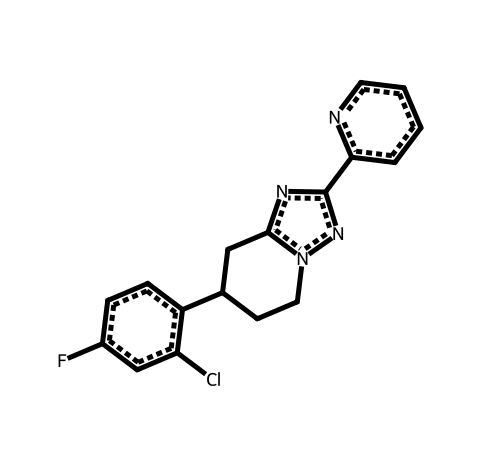 Fc1ccc(C2CCn3nc(-c4ccccn4)nc3C2)c(Cl)c1